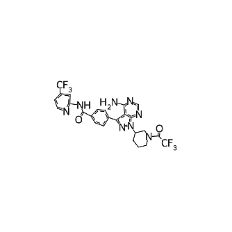 Nc1ncnc2c1c(-c1ccc(C(=O)Nc3cc(C(F)(F)F)ccn3)cc1)nn2C1CCCN(C(=O)C(F)(F)F)C1